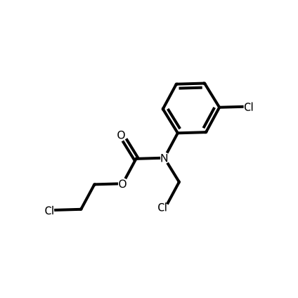 O=C(OCCCl)N(CCl)c1cccc(Cl)c1